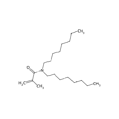 C=C(C)C(=O)N(CCCCCCCC)CCCCCCCC